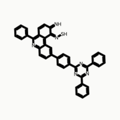 N=C1C=Cc2c(-c3ccccc3)nc3ccc(-c4ccc(-c5nc(-c6ccccc6)nc(-c6ccccc6)n5)cc4)cc3c2/C1=N/S